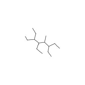 CC[C](C(CC)CC)C(C)C(CC)CC